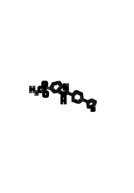 CS(=O)(=O)c1ccc2nc(-c3ccc(-c4ccsc4)cc3)[nH]c2c1